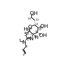 C=CCN(C)C1=N[C@@H]2[C@@H](O)[C@H](O)[C@@H](CCO)O[C@@H]2S1